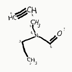 C#C.CCN(C)C=O